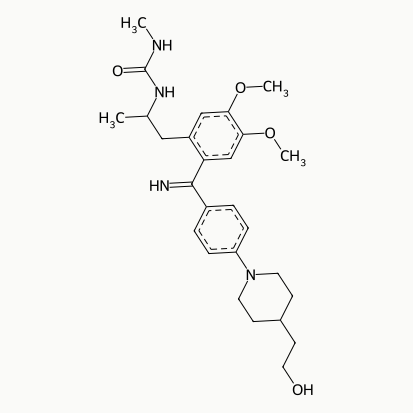 CNC(=O)NC(C)Cc1cc(OC)c(OC)cc1C(=N)c1ccc(N2CCC(CCO)CC2)cc1